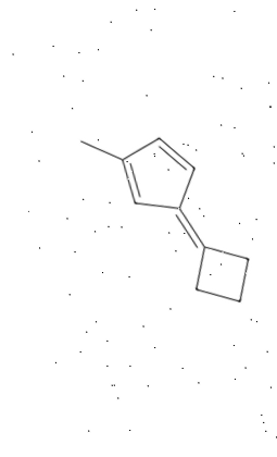 CC1=CC(=C2CCC2)C=C1